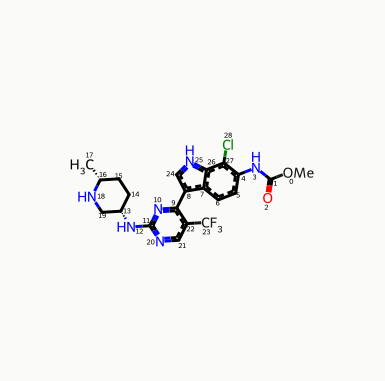 COC(=O)Nc1ccc2c(-c3nc(N[C@H]4CC[C@@H](C)NC4)ncc3C(F)(F)F)c[nH]c2c1Cl